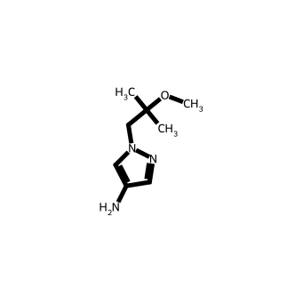 COC(C)(C)Cn1cc(N)cn1